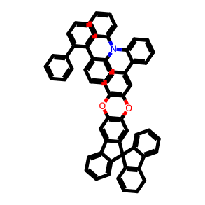 C1=CC2=C(CC1)c1ccccc1C21c2ccccc2-c2cc3c(cc21)Oc1cc(-c2ccccc2N(c2ccccc2)c2ccccc2-c2ccccc2-c2ccccc2)ccc1O3